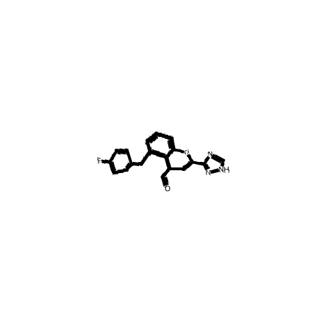 O=CC1C=C(c2nc[nH]n2)Oc2cccc(Cc3ccc(F)cc3)c21